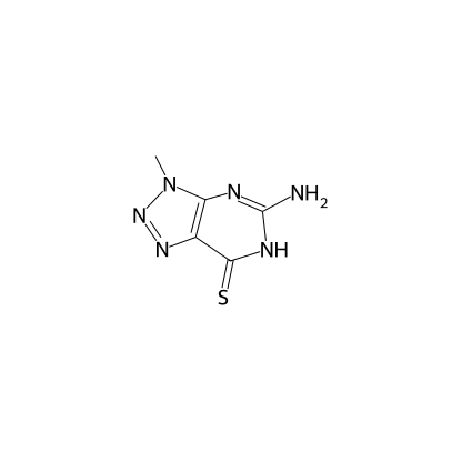 Cn1nnc2c(=S)[nH]c(N)nc21